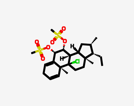 CC[C@H]1[C@@H](C)C[C@H]2[C@@H]3[C@@H](OS(C)(=O)=O)[C@@H](OS(C)(=O)=O)C4=CCC=C[C@]4(C)[C@@]3(Cl)CC[C@@]21C